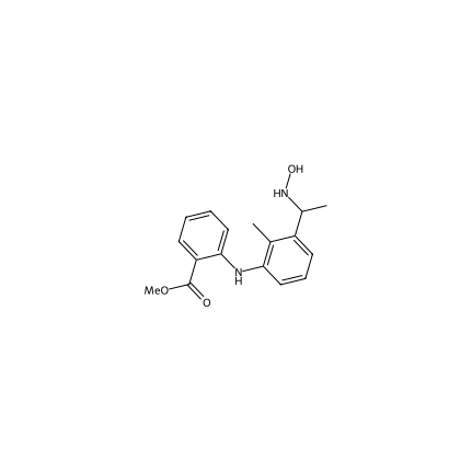 COC(=O)c1ccccc1Nc1cccc(C(C)NO)c1C